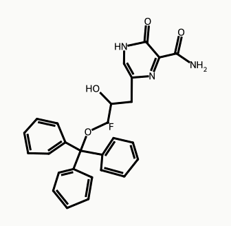 NC(=O)c1nc(CC(O)C(F)OC(c2ccccc2)(c2ccccc2)c2ccccc2)c[nH]c1=O